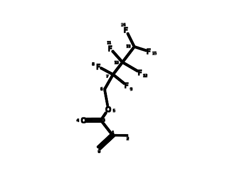 C=C(C)C(=O)OCC(F)(F)C(F)(F)C(F)F